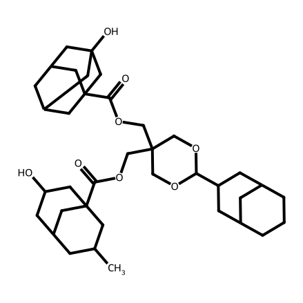 CC1CC2CC(O)CC(C(=O)OCC3(COC(=O)C45CC6CC(CC(O)(C6)C4)C5)COC(C4CC5CCCC(C5)C4)OC3)(C1)C2